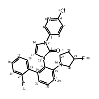 O=c1n(-c2ccc(Cl)nc2)ccn1-c1c(-c2ccccc2F)ccnc1N1CCC(F)C1